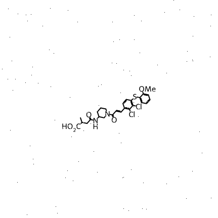 COc1ccccc1Sc1ccc(C=CC(=O)N2CCCC(NC(=O)CC(C)C(=O)O)C2)c(Cl)c1Cl